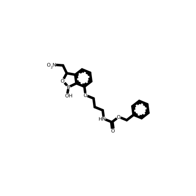 O=C(NCCCOc1cccc2c1B(O)OC2C[N+](=O)[O-])OCc1ccccc1